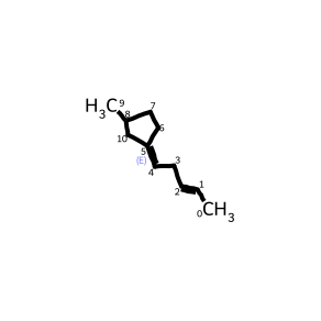 CC=CC/C=C1\CCC(C)C1